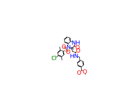 COC(=O)c1ccc(CNC(=O)C[C@@H]2C(=O)Nc3ccccc3N2S(=O)(=O)c2cc(C)c(Cl)cc2C)cc1